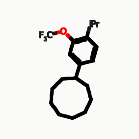 CC(C)c1ccc(C2CCCCCCCC2)cc1OC(F)(F)F